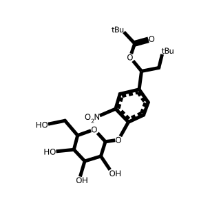 CC(C)(C)CC(OC(=O)C(C)(C)C)c1ccc(OC2OC(CO)C(O)C(O)C2O)c([N+](=O)[O-])c1